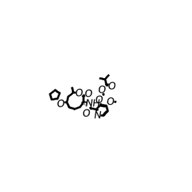 COc1ccnc(C(=O)N[C@H]2CCCC(OC3CCCC3)CC(C)OC2=O)c1OCOC(=O)C(C)C